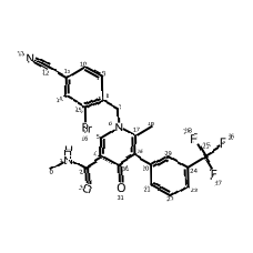 CNC(=O)c1cn(Cc2ccc(C#N)cc2Br)c(C)c(-c2cccc(C(F)(F)F)c2)c1=O